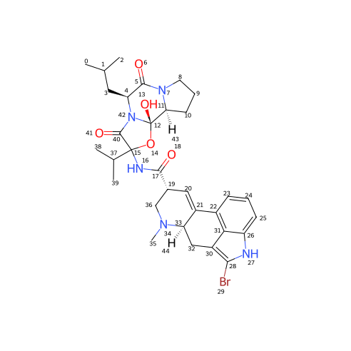 CC(C)C[C@H]1C(=O)N2CCC[C@H]2[C@]2(O)OC(NC(=O)[C@@H]3C=C4c5cccc6[nH]c(Br)c(c56)C[C@H]4N(C)C3)(C(C)C)C(=O)N12